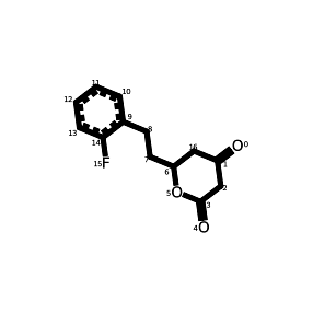 O=C1CC(=O)OC(CCc2ccccc2F)C1